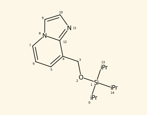 CC(C)[Si](OCc1cccn2ccnc12)(C(C)C)C(C)C